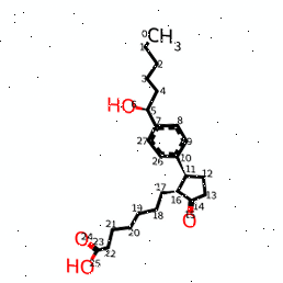 CCCCC[C@H](O)c1ccc([C@H]2CCC(=O)[C@H]2CCCCCCC(=O)O)cc1